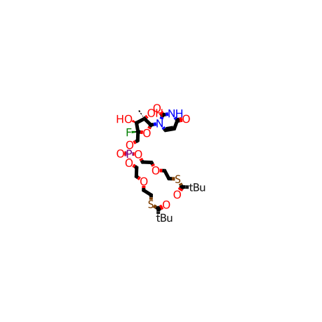 CC(C)(C)C(=O)SCCOCCOP(=O)(OCCOCCSC(=O)C(C)(C)C)OC[C@@]1(F)OC(n2ccc(=O)[nH]c2=O)[C@](C)(O)[C@@H]1O